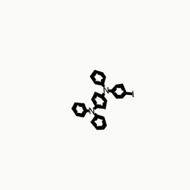 Ic1ccc(N(c2ccccc2)c2ccc(N(c3ccccc3)c3ccccc3)cc2)cc1